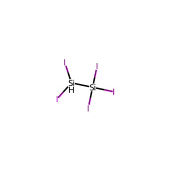 I[SiH](I)[Si](I)(I)I